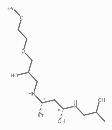 CCCOCCOCC(O)CN[C@H](C[C@@H](O)NCC(C)O)C(C)C